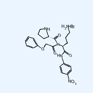 Br.NCCC[C@@H](C(=O)Nc1ccc([N+](=O)[O-])cc1)N(C(=O)COc1ccccc1)C(=O)[C@@H]1CCCN1